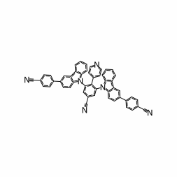 N#Cc1ccc(-c2ccc3c(c2)c2ccccc2n3-c2cc(C#N)cc(-n3c4ccccc4c4cc(-c5ccc(C#N)cc5)ccc43)c2-c2ccncc2)cc1